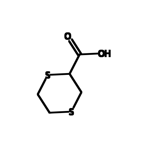 O=C(O)C1CSCCS1